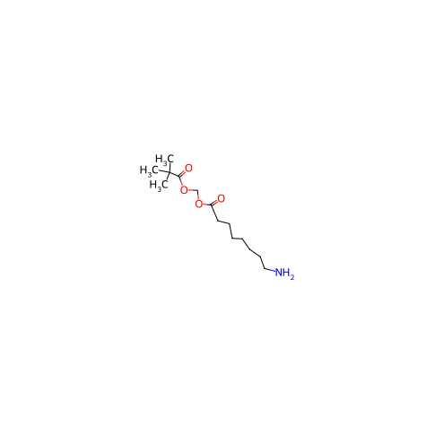 CC(C)(C)C(=O)OCOC(=O)CCCCCCCN